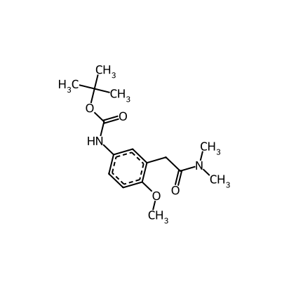 COc1ccc(NC(=O)OC(C)(C)C)cc1CC(=O)N(C)C